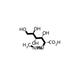 CNC.O=C(O)[C@H](O)[C@@H](O)[C@H](O)[C@H](O)CO